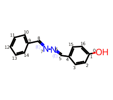 Oc1ccc(/C=N/N=C/c2ccccc2)cc1